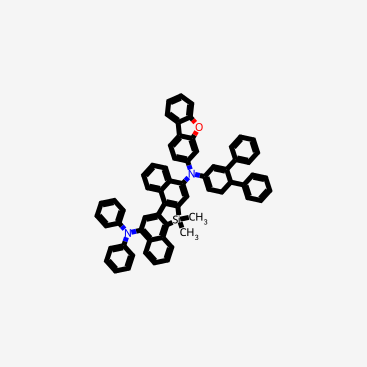 C[Si]1(C)c2cc(N(C3=CCC(c4ccccc4)C(c4ccccc4)=C3)c3ccc4c(c3)oc3ccccc34)c3ccccc3c2-c2cc(N(c3ccccc3)c3ccccc3)c3ccccc3c21